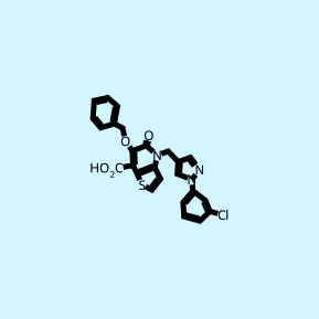 O=C(O)c1c(OCc2ccccc2)c(=O)n(Cc2cnn(-c3cccc(Cl)c3)c2)c2ccsc12